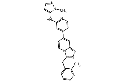 Cc1ncccc1Cc1nnc2cc(-c3ccnc(Nc4ccnn4C)c3)ccn12